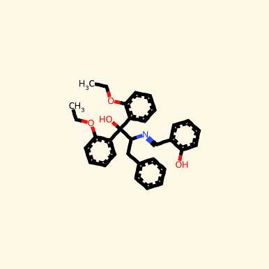 CCOc1ccccc1C(O)(c1ccccc1OCC)C(Cc1ccccc1)N=Cc1ccccc1O